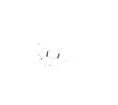 CC1[C@@H](C(C)(C)C)N(C(=O)OC(C)(C)C)C(=O)C1(C)CO[SiH3]